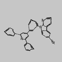 Brc1ccc2c(c1)c1cccnc1n2-c1cccc(-c2cc(-c3ccccc3)nc(-c3ccccc3)c2)c1